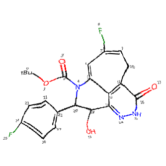 CC(C)(C)OC(=O)N1C2=CC(F)=CCc3c2c(n[nH]c3=O)C(O)C1c1ccc(F)cc1